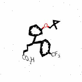 CC1(COc2cccc(/C(=C/C=C/C(=O)O)c3ccc(C(F)(F)F)cc3)c2)CC1